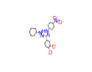 COc1ccc(C(N=Nc2ccccc2)=NNc2ccc([N+](=O)[O-])cc2)cc1OC